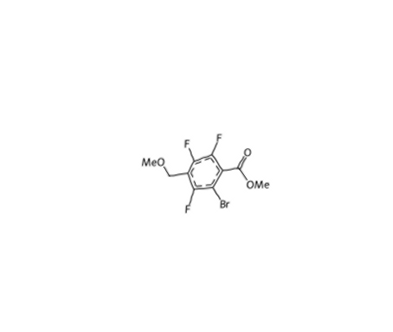 COCc1c(F)c(F)c(C(=O)OC)c(Br)c1F